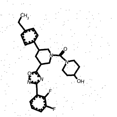 CCc1ccc(C2CC(c3nc(-c4cccc(F)c4F)no3)CN(C(=O)N3CCC(O)CC3)C2)cc1